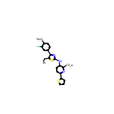 COc1ccc(-c2nc(Nc3ccc(-c4cccs4)nc3C(=O)O)sc2CC(C)C)cc1F